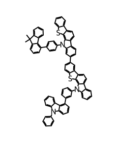 CC1(C)c2ccccc2-c2c(-c3ccc(-n4c5cc(-c6ccc7sc8c(ccc9c%10ccccc%10n(-c%10cccc(-c%11cccc%12c%11c%11ccccc%11n%12-c%11ccccc%11)c%10)c98)c7c6)ccc5c5ccc6c7ccccc7sc6c54)cc3)cccc21